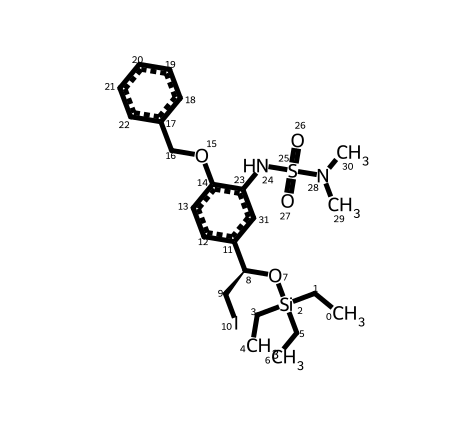 CC[Si](CC)(CC)O[C@@H](CI)c1ccc(OCc2ccccc2)c(NS(=O)(=O)N(C)C)c1